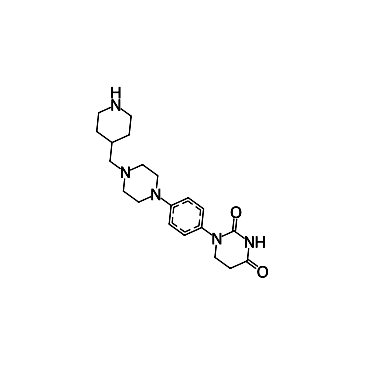 O=C1CCN(c2ccc(N3CCN(CC4CCNCC4)CC3)cc2)C(=O)N1